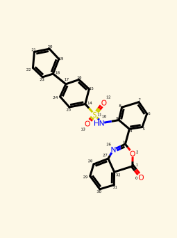 O=c1oc(-c2ccccc2NS(=O)(=O)c2ccc(-c3ccccc3)cc2)nc2ccccc12